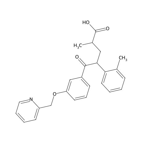 Cc1ccccc1C(CC(C)C(=O)O)C(=O)c1cccc(OCc2ccccn2)c1